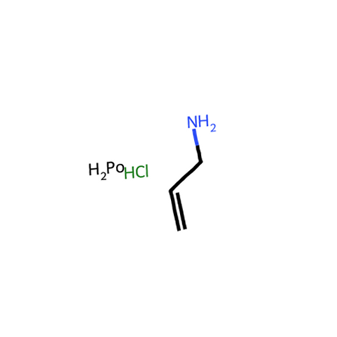 C=CCN.Cl.[PoH2]